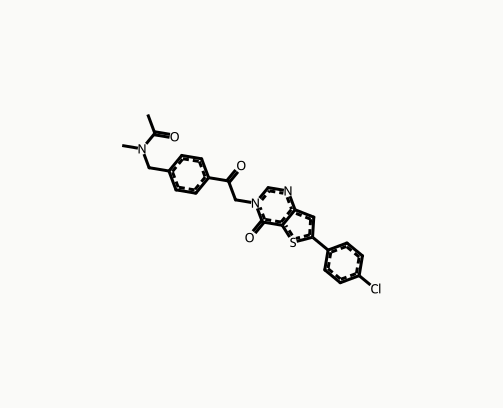 CC(=O)N(C)Cc1ccc(C(=O)Cn2cnc3cc(-c4ccc(Cl)cc4)sc3c2=O)cc1